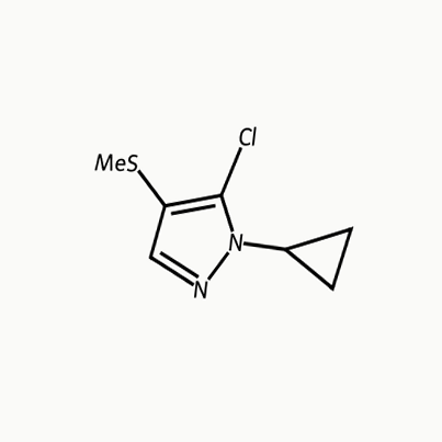 CSc1cnn(C2CC2)c1Cl